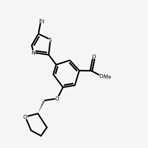 CCc1cnc(-c2cc(OC[C@@H]3CCCO3)cc(C(=O)OC)c2)s1